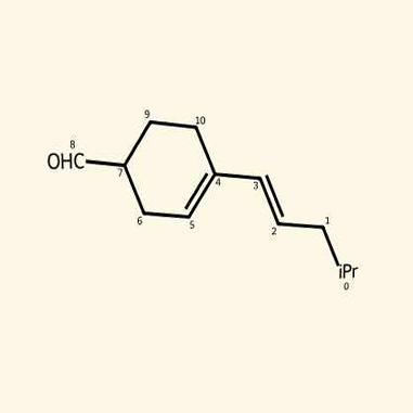 CC(C)CC=CC1=CCC(C=O)CC1